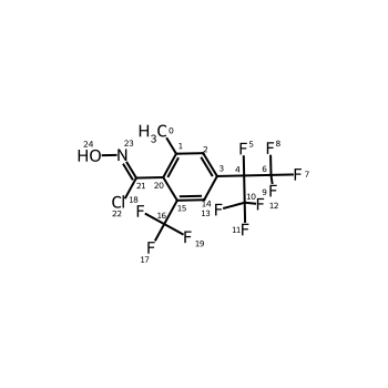 Cc1cc(C(F)(C(F)(F)F)C(F)(F)F)cc(C(F)(F)F)c1C(Cl)=NO